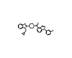 O=C(c1cccc2c1cnn2-c1cccc(F)c1)N1CCC(c2nc3ccccc3n2CC2CC2)CC1